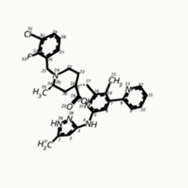 Cc1cc(Nc2cc(-c3ccccn3)c(C)c(C[C@@]3(C(=O)O)CCN(Cc4cccc(Cl)c4F)[C@H](C)C3)n2)n[nH]1